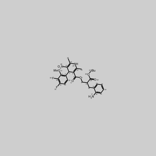 COc1c(C2C(C(=O)OCC(Cc3ccccc3N)C(=O)OC(C)(C)C)=C(C)NC(C)=C2[N+](=O)[O-])ccc(F)c1F